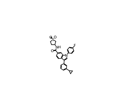 O=C(NC1CCS(=O)(=O)C1)c1ccc2c(-c3cccc(C4CC4)c3)cn(-c3ccc(F)cc3)c2c1